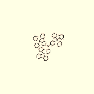 c1ccc(C2(c3ccccc3)c3ccccc3-c3cc(N(c4ccc5c(c4)-c4ccccc4C5(c4ccccc4)c4ccccc4)c4cccc5c4-c4ccccc4C54c5ccccc5-c5ccccc54)ccc32)cc1